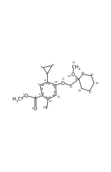 COC(=O)c1cc(C2CC2)c(OCC2(OC)CCCCC2)cc1F